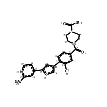 CC(C)(C)C(=O)N1CCN(C(=O)c2ccc(-c3csc(-c4ccnc(C(C)(C)C)c4)c3)c(Cl)c2)CC1